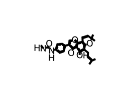 CNC(=O)Nc1ccc(-c2coc3c4c(c(CC=C(C)C)c(O)c3c2=O)OC(C)(C)C=C4)cc1